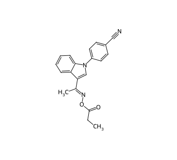 CCC(=O)O/N=C(\C)c1cn(-c2ccc(C#N)cc2)c2ccccc12